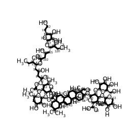 CC[C@H](C)[C@H](C[C@H](O)CC(=O)O[C@@H]1[C@H](OC(C)=O)[C@@H](O[C@@H]2O[C@@H](C)C[C@@H](O)[C@H]2O)[C@H](OC(=O)[C@]23CCC(C)(C)C[C@H]2C2=CC[C@@H]4[C@@]5(C)CC[C@H](O[C@@H]6O[C@H](C(=O)O)[C@@H](O)[C@H](O[C@@H]7OC[C@@H](O)[C@H](O)[C@H]7O)[C@H]6O[C@@H]6O[C@H](CO)[C@H](O)[C@H](O)[C@H]6O)[C@@](C)(C=O)[C@@H]5CC[C@@]4(C)C2C[C@H]3O)O[C@@H]1C)OC(=O)C[C@@H](O)C[C@H](O[C@@H]1O[C@@H](CCO)[C@H](O)[C@H]1O)[C@@H](C)CC